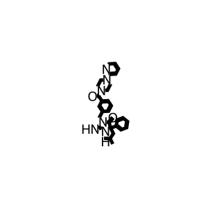 CC(C)CC1(c2ccccc2)NC(=N)N(Cc2cccc(C(=O)N3CCN(c4ccccn4)CC3)c2)C1=O